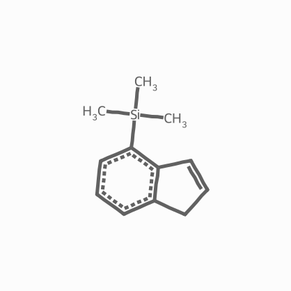 C[Si](C)(C)c1cccc2c1C=CC2